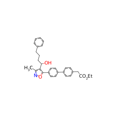 CCOC(=O)Cc1ccc(-c2ccc(-c3onc(C)c3C(O)CCCc3ccccc3)cc2)cc1